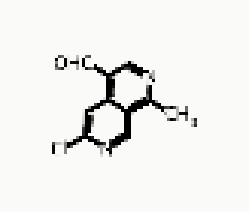 Cc1ncc(C=O)c2cc(Cl)ncc12